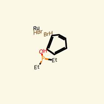 Br.Br.CCP(O)CC.[Ru].c1ccccc1